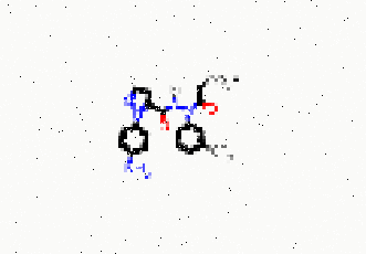 CCOC(=O)CC(=O)N(c1cccc(C(F)(F)F)c1)N(CC)C(=O)c1ccnn1-c1ccc(N)cc1